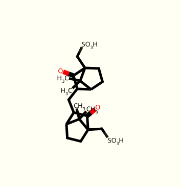 CC1(C)C2CCC1(CS(=O)(=O)O)C(=O)C2CC1C(=O)C2(CS(=O)(=O)O)CCC1C2(C)C